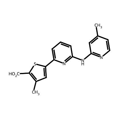 Cc1ccnc(Nc2cccc(-c3cc(C)c(C(=O)O)s3)n2)c1